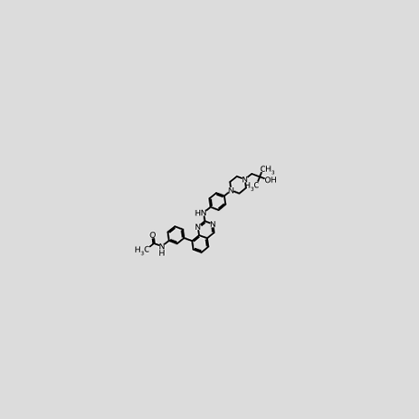 CC(=O)Nc1cccc(-c2cccc3cnc(Nc4ccc(N5CCN(CC(C)(C)O)CC5)cc4)nc23)c1